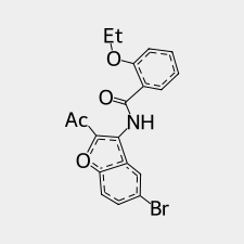 CCOc1ccccc1C(=O)Nc1c(C(C)=O)oc2ccc(Br)cc12